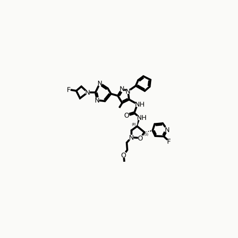 COCCN1C[C@@H](NC(=O)Nc2c(C)c(-c3cnc(N4CC(F)C4)nc3)nn2-c2ccccc2)[C@H](c2ccnc(F)c2)O1